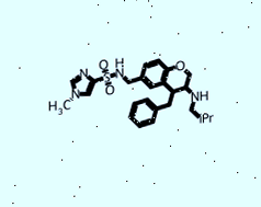 CC(C)CNC1COc2ccc(CNS(=O)(=O)c3cn(C)cn3)cc2C1Cc1ccccc1